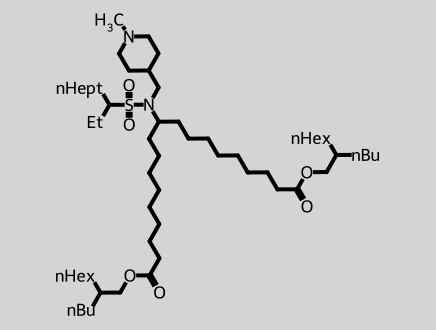 CCCCCCCC(CC)S(=O)(=O)N(CC1CCN(C)CC1)C(CCCCCCCCC(=O)OCC(CCCC)CCCCCC)CCCCCCCCC(=O)OCC(CCCC)CCCCCC